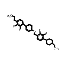 CCCc1ccc(-c2ccc(OCc3ccc(C4CCC(CC)CC4)c(F)c3F)cc2)c(F)c1F